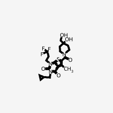 Cc1c(C(=O)N2CCC(O)(CO)CC2)sc2c1c(=O)n(CC1CC1)c(=O)n2CCC(F)(F)F